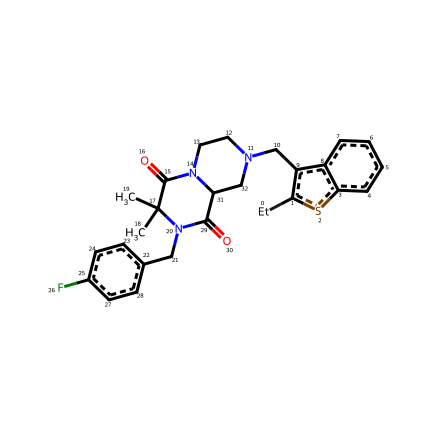 CCc1sc2ccccc2c1CN1CCN2C(=O)C(C)(C)N(Cc3ccc(F)cc3)C(=O)C2C1